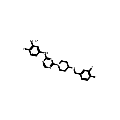 CC(=O)Nc1cc(Nc2ncnc(N3CCC(OCc4ccc(F)c(F)c4)CC3)n2)ccc1F